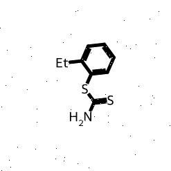 CCc1ccccc1SC(N)=S